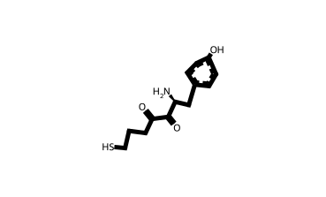 N[C@@H](Cc1ccc(O)cc1)C(=O)C(=O)CCCS